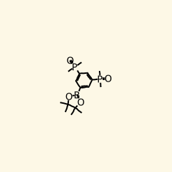 CC1(C)OB(c2cc(P(C)(C)=O)cc(P(C)(C)=O)c2)OC1(C)C